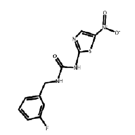 O=C(NCc1cccc(F)c1)Nc1ncc([N+](=O)[O-])s1